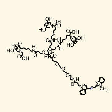 CN1/C(=C/C=C/c2cc[n+](CCC(=O)NCCOCCOCCOCCC(=O)NC(COCCC(=O)NCCCCC(C(=O)O)N(CC(=O)O)CC(=O)O)(COCCC(=O)NCCCCC(C(=O)O)N(CC(=O)O)CC(=O)O)COCCC(=O)NCCCCC(C(=O)O)N(CC(=O)O)CC(=O)O)c3ccccc23)Sc2ccccc21